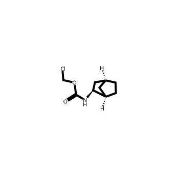 O=C(N[C@H]1C[C@H]2CC[C@@H]1C2)OCCl